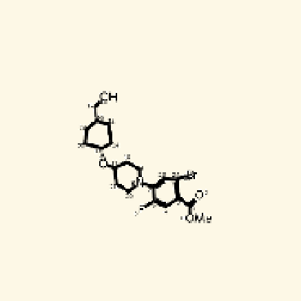 COC(=O)c1cc(F)c(N2CCC(O[C@H]3CC[C@H](CO)CC3)CC2)cc1Br